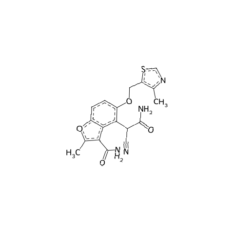 Cc1ncsc1COc1ccc2oc(C)c(C(N)=O)c2c1C(C#N)C(N)=O